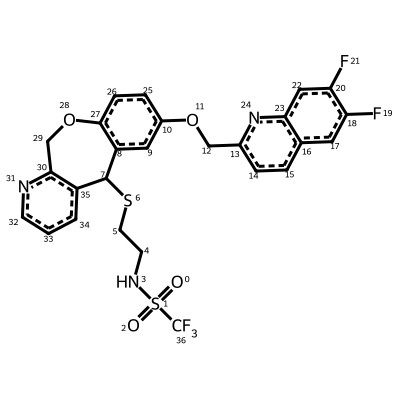 O=S(=O)(NCCSC1c2cc(OCc3ccc4cc(F)c(F)cc4n3)ccc2OCc2ncccc21)C(F)(F)F